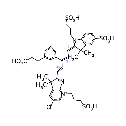 CC1(C)C(/C=C/C(=C/C=C2/N(CCCS(=O)(=O)O)c3ccc(S(=O)(=O)O)cc3C2(C)C)c2cccc(CCC(=O)O)c2)=Nc2c1cc(Cl)c[n+]2CCCS(=O)(=O)O